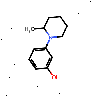 CC1CCCCN1c1cccc(O)c1